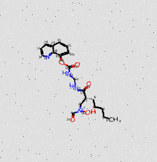 CCCCC[C@H](CN(O)C=O)C(=O)NCNC(=O)Oc1cccc2cccnc12